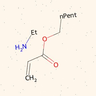 C=CC(=O)OCCCCCC.CCN